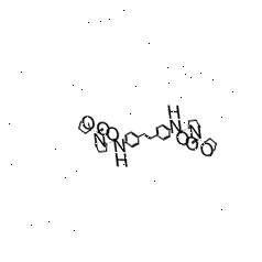 O=C(Nc1ccc(/C=C/c2ccc(NC(=O)[C@@H]3CCCN3C(=O)[C@@H]3CCCO3)cc2)cc1)[C@@H]1CCCN1C(=O)[C@@H]1CCCO1